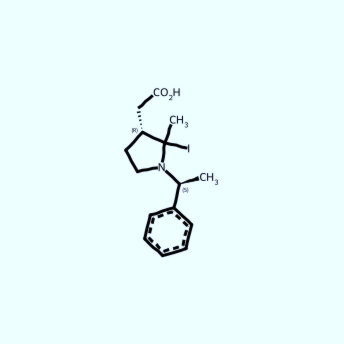 C[C@@H](c1ccccc1)N1CC[C@H](CC(=O)O)C1(C)I